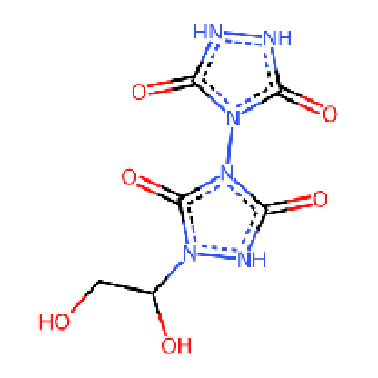 O=c1[nH][nH]c(=O)n1-n1c(=O)[nH]n(C(O)CO)c1=O